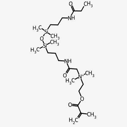 C=C(C)C(=O)OCC[N+](C)(C)CC(=O)NCCC[Si](C)(C)O[Si](C)(C)CCCNC(=O)CC